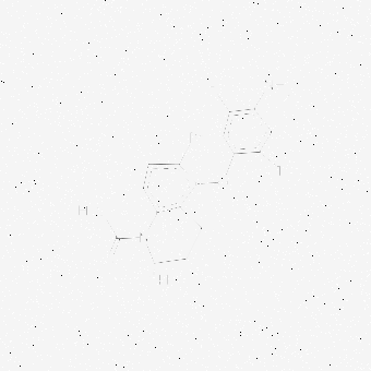 CC(=O)N1c2ccc(Br)c(Oc3cc(F)c(N)cc3F)c2CC[C@@H]1C